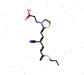 C=C(/C=C/C(C#N)=C/C=C1\SCCN1CCC(=O)O)SCCC